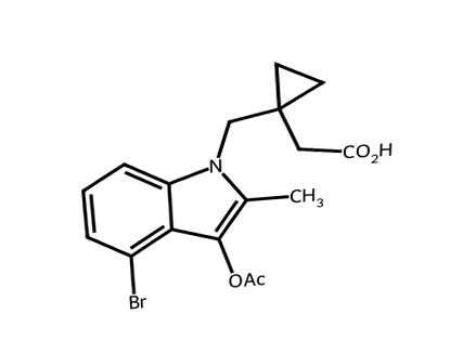 CC(=O)Oc1c(C)n(CC2(CC(=O)O)CC2)c2cccc(Br)c12